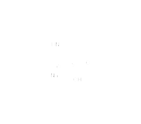 [NH-]CS(=O)(=O)O.[Na+]